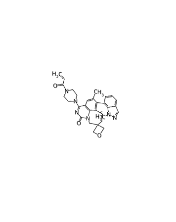 C=CC(=O)N1CCN(c2nc(=O)n3c4c(c(-c5cccc6cnn(C)c56)c(C)cc24)SCC2(COC2)C3)CC1